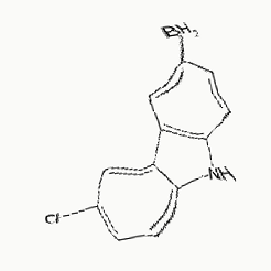 Bc1ccc2[nH]c3ccc(Cl)cc3c2c1